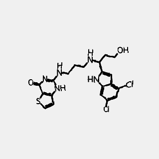 O=c1nc(NCCCNC(CCO)c2cc3c(Cl)cc(Cl)cc3[nH]2)[nH]c2ccsc12